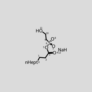 CCCCCCCCCC(=O)OS(=O)(=O)CCO.[NaH]